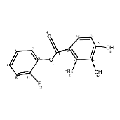 CCCCc1c(C(=O)Oc2ccccc2F)ccc(O)c1O